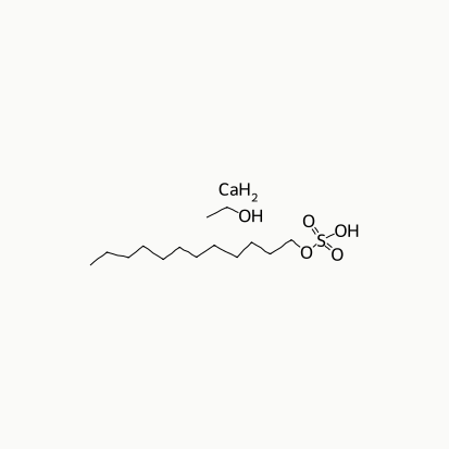 CCCCCCCCCCCCOS(=O)(=O)O.CCO.[CaH2]